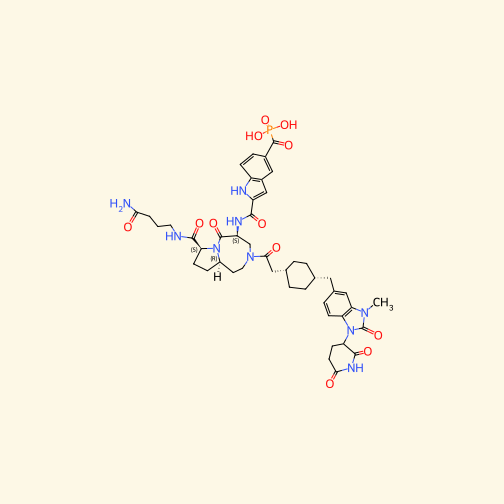 Cn1c(=O)n(C2CCC(=O)NC2=O)c2ccc(C[C@H]3CC[C@@H](CC(=O)N4CC[C@H]5CC[C@@H](C(=O)NCCCC(N)=O)N5C(=O)[C@@H](NC(=O)c5cc6cc(C(=O)P(=O)(O)O)ccc6[nH]5)C4)CC3)cc21